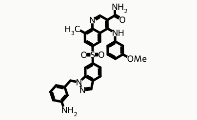 COc1cccc(Nc2c(C(N)=O)cnc3c(C)cc(S(=O)(=O)c4ccc5cnn(Cc6cccc(N)c6)c5c4)cc23)c1